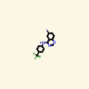 FC(F)(F)c1ccc(Nc2ncnc3ccc(I)cc23)cc1